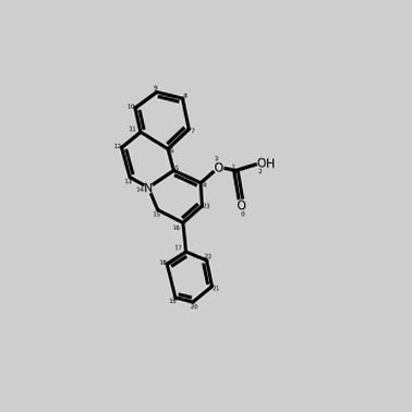 O=C(O)OC1=C2c3ccccc3C=CN2CC(c2ccccc2)=C1